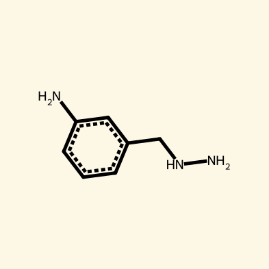 NNCc1cccc(N)c1